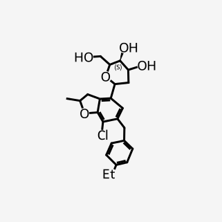 CCc1ccc(Cc2cc(C3CC(O)[C@H](O)C(CO)O3)c3c(c2Cl)OC(C)C3)cc1